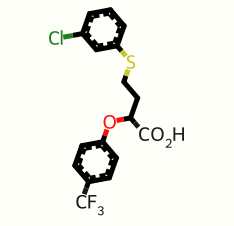 O=C(O)C(CCSc1cccc(Cl)c1)Oc1ccc(C(F)(F)F)cc1